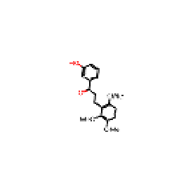 COc1ccc(OC)c(OC)c1CCC(=O)c1cccc(O)c1